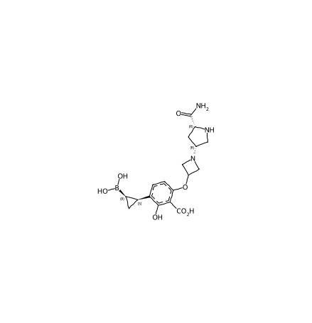 NC(=O)[C@H]1C[C@@H](N2CC(Oc3ccc([C@H]4C[C@H]4B(O)O)c(O)c3C(=O)O)C2)CN1